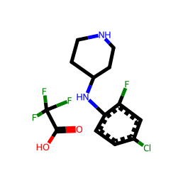 Fc1cc(Cl)ccc1NC1CCNCC1.O=C(O)C(F)(F)F